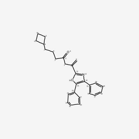 C=C(CC(=O)CCCC1CCC1)c1nc(-c2ccccc2)c(-c2ccccc2)o1